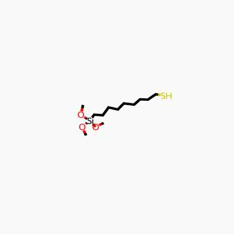 CO[Si](CCCCCCCCCS)(OC)OC